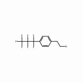 [O]CCc1ccc(C(F)(F)C(F)(F)C(F)(F)F)cc1